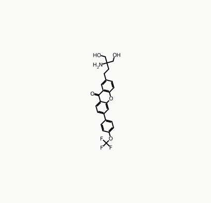 NC(CO)(CO)CCc1ccc2oc3cc(-c4ccc(OC(F)(F)F)cc4)ccc3c(=O)c2c1